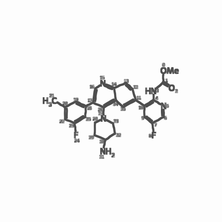 COC(=O)Nc1ncc(F)cc1-c1ccc2ncc(-c3cc(C)cc(F)c3)c(N3CCC(N)CC3)c2c1